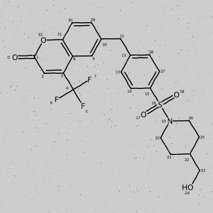 O=c1cc(C(F)(F)F)c2cc(Cc3ccc(S(=O)(=O)N4CCC(CO)CC4)cc3)ccc2o1